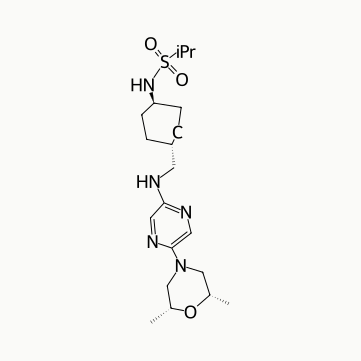 CC(C)S(=O)(=O)N[C@H]1CC[C@H](CNc2cnc(N3C[C@@H](C)O[C@@H](C)C3)cn2)CC1